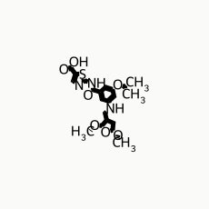 COC1CC(CNc2cc(OC(C)C)cc(C(=O)Nc3ncc(C(=O)O)s3)c2)C(OC)O1